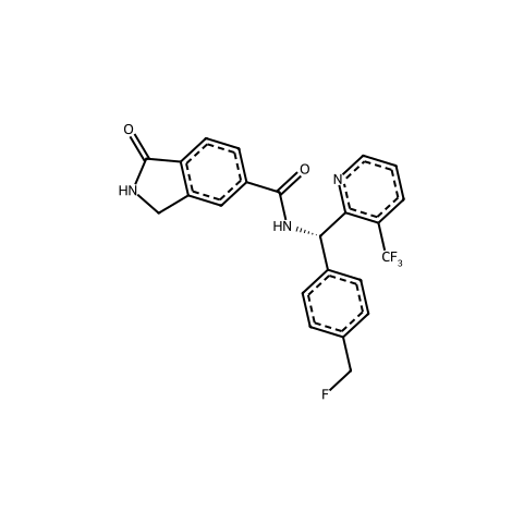 O=C(N[C@@H](c1ccc(CF)cc1)c1ncccc1C(F)(F)F)c1ccc2c(c1)CNC2=O